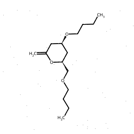 C=C1C[C@@H](OCCCC)C[C@@H](COCCCC)O1